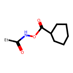 CCC(=O)NOC(=O)C1CCCCC1